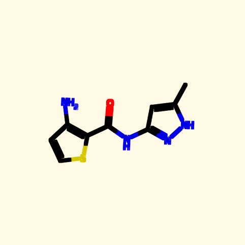 Cc1cc(NC(=O)c2sccc2N)n[nH]1